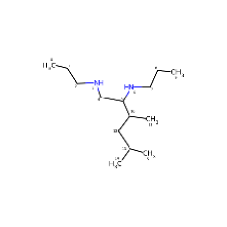 CCCNCC(NCCC)C(C)CC(C)C